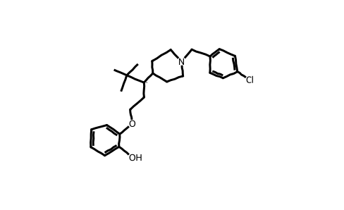 CC(C)(C)[C](CCOc1ccccc1O)C1CCN(Cc2ccc(Cl)cc2)CC1